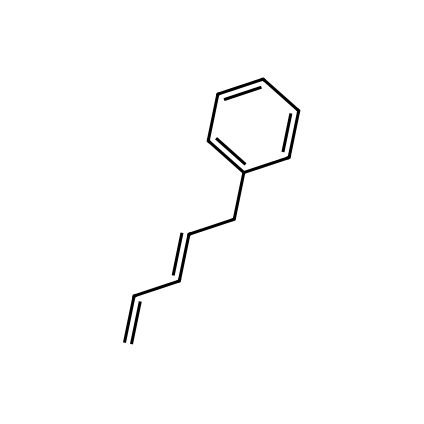 C=C/C=C/Cc1ccccc1